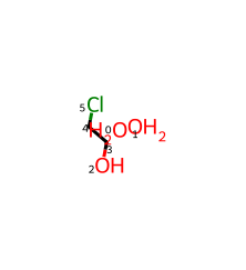 O.O.OCCCl